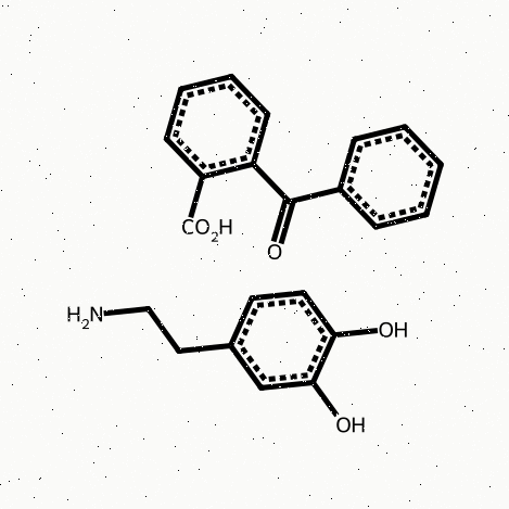 NCCc1ccc(O)c(O)c1.O=C(O)c1ccccc1C(=O)c1ccccc1